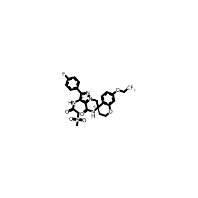 CS(=O)(=O)CC(=O)Nc1c(-c2ccc(F)cc2)nn2c1C(=O)N[C@]1(CCOc3cc(OCC(F)(F)F)ccc31)C2